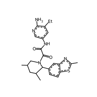 CCc1cc(NC(=O)C(=O)N2CC(C)CC(C)C2c2ccc3sc(C)nc3c2)cnc1N